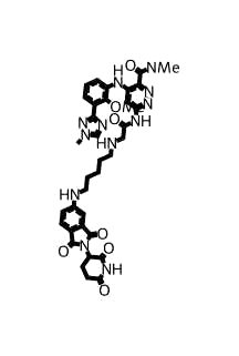 CNC(=O)c1nnc(NC(=O)CNCCCCCNc2ccc3c(c2)C(=O)N(C2CCC(=O)NC2=O)C3=O)cc1Nc1cccc(-c2ncn(C)n2)c1OC